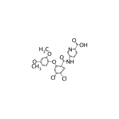 COc1ccc(Oc2cc(Cl)c(Cl)cc2C(=O)Nc2ccc(C(=O)O)nc2)c(OC)c1